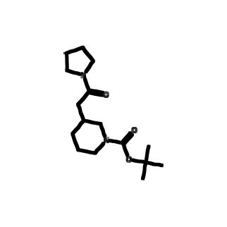 CC(C)(C)OC(=O)N1CCCC(CC(=O)N2C[CH]CC2)C1